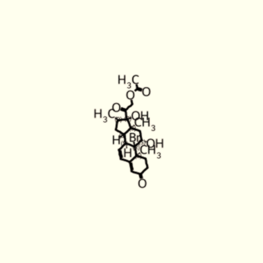 CC(=O)OCC(=O)[C@@]1(O)[C@H](C)C[C@H]2[C@@H]3C=CC4=CC(=O)CC[C@]4(C)[C@@]3(Br)[C@@H](O)C[C@@]21C